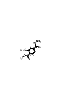 CCCCCCc1cc(C(=O)ON)ccc1C(=O)ON